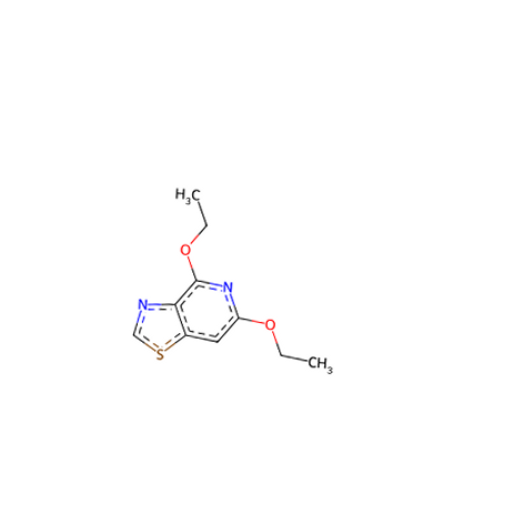 CCOc1cc2scnc2c(OCC)n1